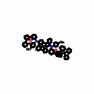 Cc1ccccc1-c1cccc2c1oc1c(N(c3ccc(C(C)(C)C)cc3)c3ccc4c(c3)C3(c5ccccc5-c5ccccc53)c3cc(N(c5ccc(C(C)(C)C)cc5)c5cccc6c5oc5c(-c7ccccc7[Si](c7ccccc7)(c7ccccc7)c7ccccc7)cccc56)c5ccccc5c3-4)cccc12